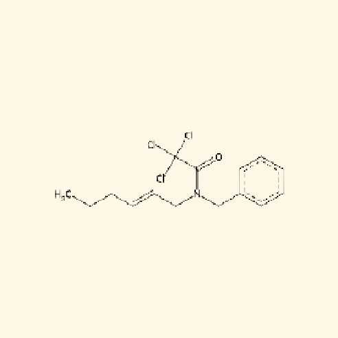 CCCC=CCN(Cc1ccccc1)C(=O)C(Cl)(Cl)Cl